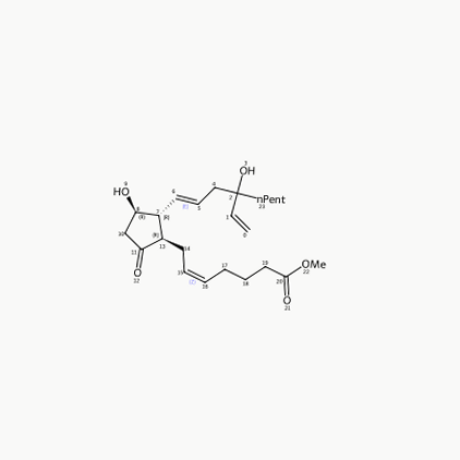 C=CC(O)(C/C=C/[C@H]1[C@H](O)CC(=O)[C@@H]1C/C=C\CCCC(=O)OC)CCCCC